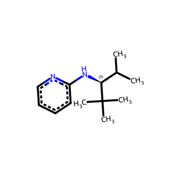 CC(C)[C@H](Nc1ccccn1)C(C)(C)C